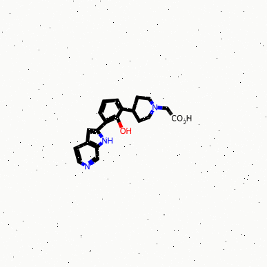 O=C(O)CN1CCC(c2cccc(-c3cc4ccncc4[nH]3)c2O)CC1